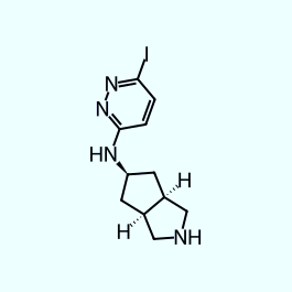 Ic1ccc(N[C@H]2C[C@H]3CNC[C@H]3C2)nn1